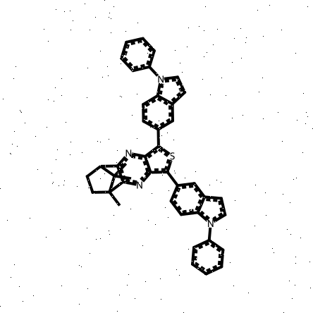 CC12CCC(c3nc4c(-c5ccc6c(ccn6-c6ccccc6)c5)sc(-c5ccc6c(ccn6-c6ccccc6)c5)c4nc31)C2(C)C